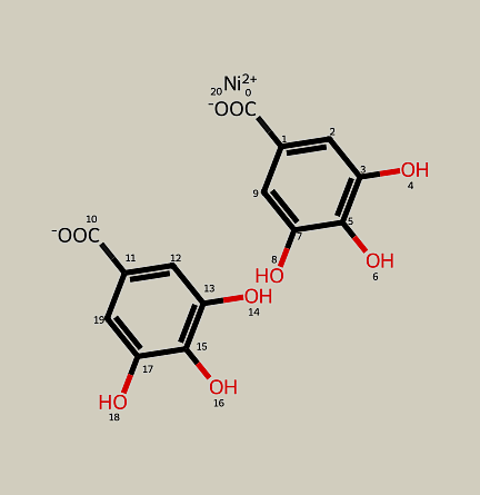 O=C([O-])c1cc(O)c(O)c(O)c1.O=C([O-])c1cc(O)c(O)c(O)c1.[Ni+2]